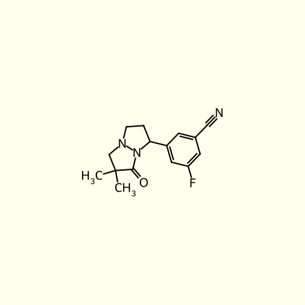 CC1(C)CN2CCC(c3cc(F)cc(C#N)c3)N2C1=O